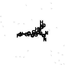 Cc1c(OCCCN2CCC(F)CC2)cccc1-c1cccc2c1CC[C@@H]2Oc1cc(OCc2cc(C#N)cc(C#N)c2)c(CN[C@H]2CCC(=O)NC2)cc1Cl